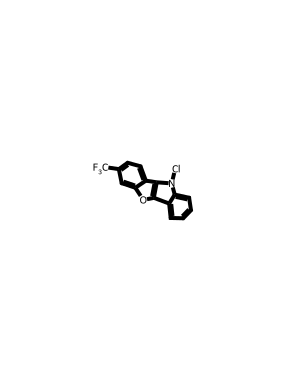 FC(F)(F)c1ccc2c(c1)oc1c3ccccc3n(Cl)c21